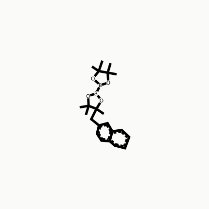 CC1(C)OB(B2OC(C)(C)C(C)(Cc3ccc4ccccc4c3)O2)OC1(C)C